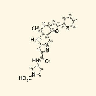 Cc1cc(C(=O)N[C@@H]2CCN(C(=O)O)C2)nn1Cc1cc(Cl)cc2cc(-c3ccccc3)oc12